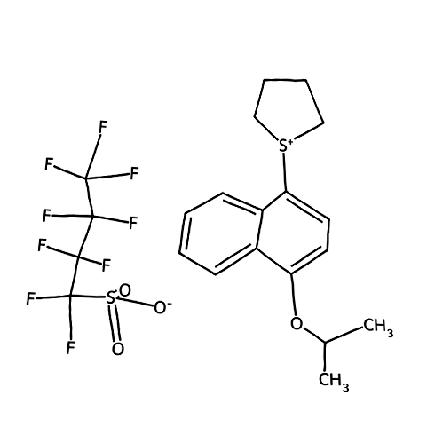 CC(C)Oc1ccc([S+]2CCCC2)c2ccccc12.O=S(=O)([O-])C(F)(F)C(F)(F)C(F)(F)C(F)(F)F